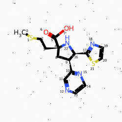 CSCC[C@]1(C(=O)O)C[C@H](c2cnccn2)[C@H](c2nccs2)N1